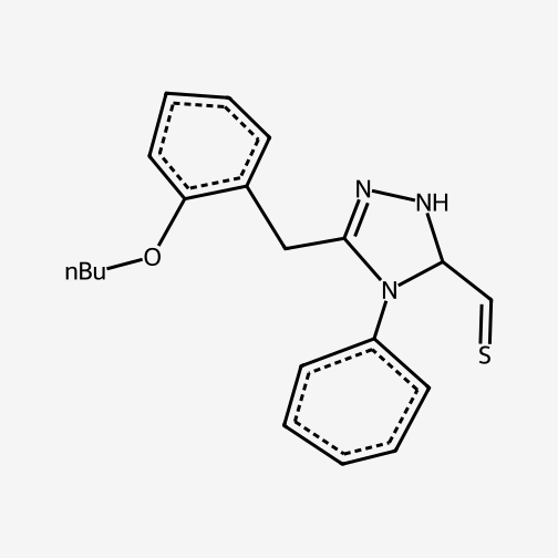 CCCCOc1ccccc1CC1=NNC(C=S)N1c1ccccc1